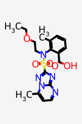 CCOCCN(c1c(C)cccc1C(=O)O)S(=O)(=O)c1nc2nccc(C)n2n1